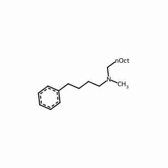 CCCCCCCCCN(C)CCCCc1ccccc1